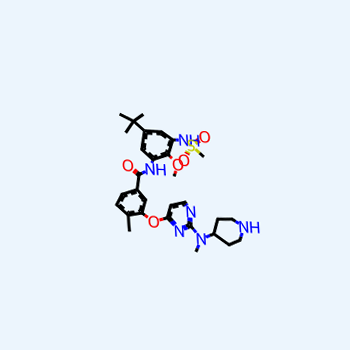 COc1c(NC(=O)c2ccc(C)c(Oc3ccnc(N(C)C4CCNCC4)n3)c2)cc(C(C)(C)C)cc1NS(C)(=O)=O